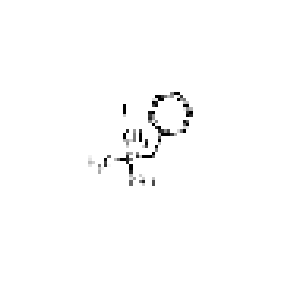 CCCC[P+](C)(C)Cc1ccccc1.[I-]